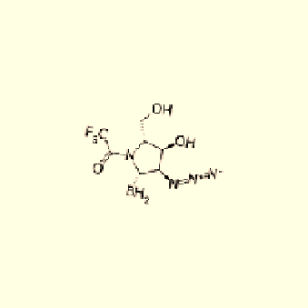 B[C@H]1[C@H](N=[N+]=[N-])[C@H](O)[C@@H](CO)N1C(=O)C(F)(F)F